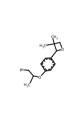 CC(C)CC(C)Oc1ccc(C2OCC2(C)C)cc1